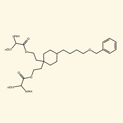 CCCCCCCCC(CCCCCC)C(=O)OCCC1(CCOC(=O)C(CCCCCC)CCCCCCCC)CCN(CCCCOCc2ccccc2)CC1